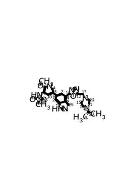 COc1ncc(-c2cc(-c3nnc(CN4CCN(C(C)C)CC4)o3)c3cn[nH]c3c2)cc1NS(C)(=O)=O